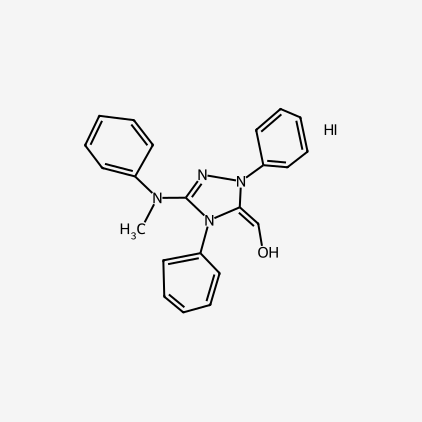 CN(C1=NN(c2ccccc2)/C(=C/O)N1c1ccccc1)c1ccccc1.I